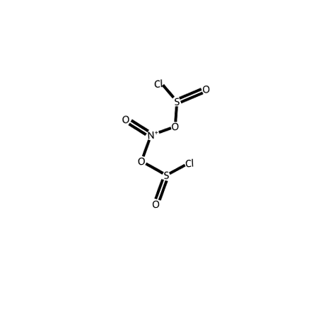 O=[N+](OS(=O)Cl)OS(=O)Cl